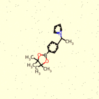 CC(c1ccc(B2OC(C)(C)C(C)(C)O2)cc1)n1cccc1